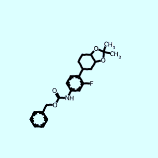 CC1(C)OC2CCC(c3ccc(NC(=O)OCc4ccccc4)cc3F)CC2O1